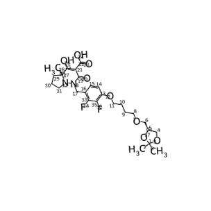 CC1(C)OC[C@H](COCCCCOc2ccc(CN3C(=O)C(C(=O)O)=C(O)[C@@]4(C)CCCN34)c(F)c2F)O1